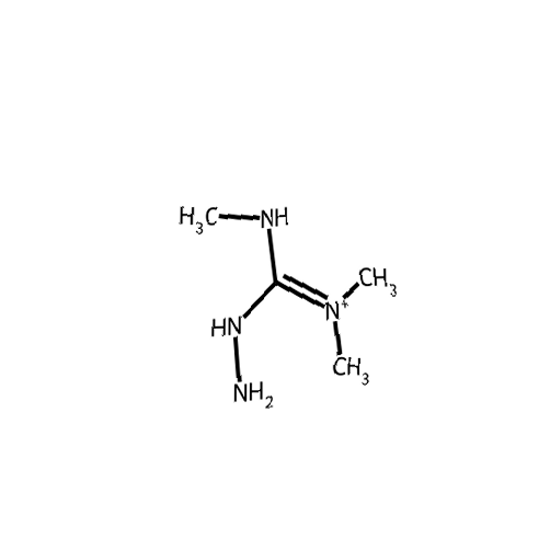 CNC(NN)=[N+](C)C